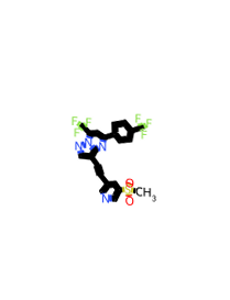 CS(=O)(=O)c1cncc(C#Cc2cnn3c(C(F)(F)F)cc(-c4ccc(C(F)(F)F)cc4)nc23)c1